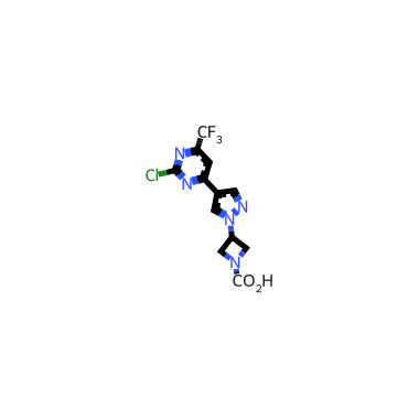 O=C(O)N1CC(n2cc(-c3cc(C(F)(F)F)nc(Cl)n3)cn2)C1